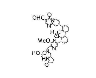 COc1nc(-c2cccc(-c3cccc(-c4ccn5c(=O)c(C=O)cnc5c4)c3C)c2Cl)cnc1CN(CC1CCC(=O)N1)C(=O)O